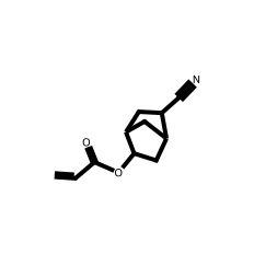 C=CC(=O)OC1CC2CC1CC2C#N